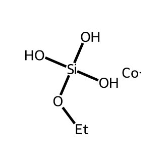 CCO[Si](O)(O)O.[Co]